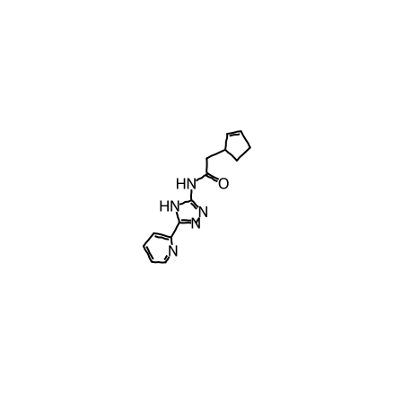 O=C(CC1C=CCC1)Nc1nnc(-c2ccccn2)[nH]1